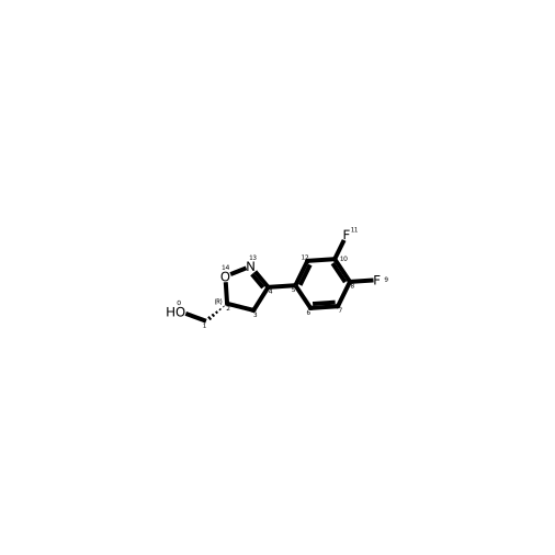 OC[C@H]1CC(c2ccc(F)c(F)c2)=NO1